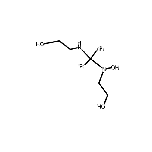 CCCC(NCCO)(C(C)C)N(O)CCO